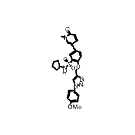 COc1ccc(-n2cc(COc3ccc(-c4ccc(=O)n(C)c4)cc3S(=O)(=O)NC3CCCC3)nn2)cc1